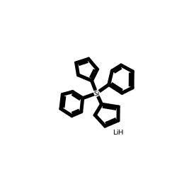 C1=CCC([Si](C2=CC=CC2)(c2ccccc2)c2ccccc2)=C1.[LiH]